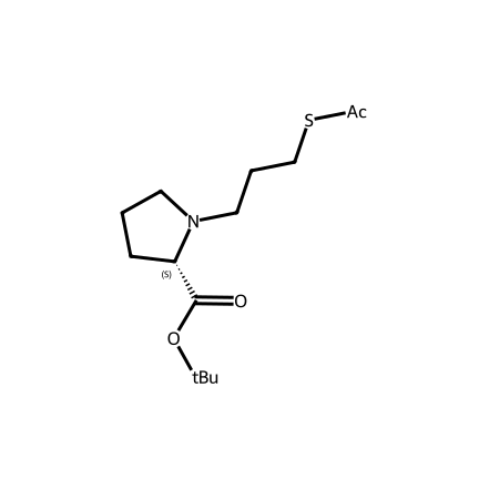 CC(=O)SCCCN1CCC[C@H]1C(=O)OC(C)(C)C